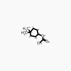 CC1(C)CCC(OC(=O)Cl)CC1